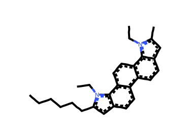 CCCCCCc1cc2ccc3c4ccc5cc(C)n(CC)c5c4ccc3c2n1CC